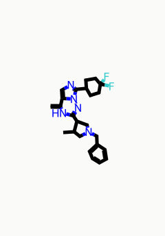 C=C1NC(C2CN(Cc3ccccc3)CC2C)=Nn2c1cnc2C1CCC(F)(F)CC1